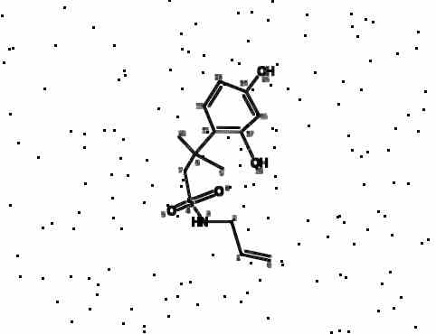 C=CCNS(=O)(=O)CC(C)(C)c1ccc(O)cc1O